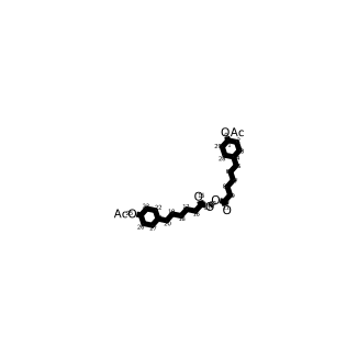 CC(=O)OC1CCC(CCCCCC(=O)OOC(=O)CCCCCC2CCC(OC(C)=O)CC2)CC1